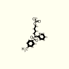 Cc1ccc(S(=O)(=O)N(CCCCON(Cl)Cl)c2ccccn2)cc1